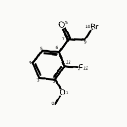 COc1cccc(C(=O)CBr)c1F